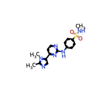 CNS(=O)(=O)c1ccc(Nc2nccc(-c3cnc(C)n3C)n2)cc1